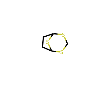 [CH]1SC2CCC(S1)S2